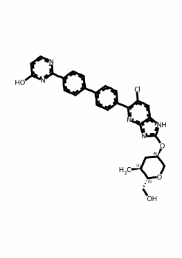 C[C@H]1C[C@@H](Oc2nc3nc(-c4ccc(-c5ccc(-c6nccc(O)n6)cc5)cc4)c(Cl)cc3[nH]2)CO[C@@H]1CO